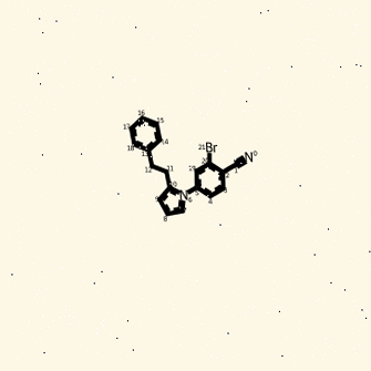 N#Cc1ccc(-n2cccc2CCc2ccccc2)cc1Br